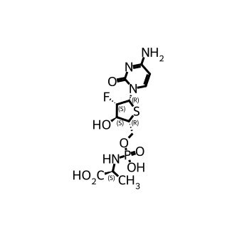 C[C@H](NP(=O)(O)OC[C@H]1S[C@@H](n2ccc(N)nc2=O)[C@@H](F)[C@@H]1O)C(=O)O